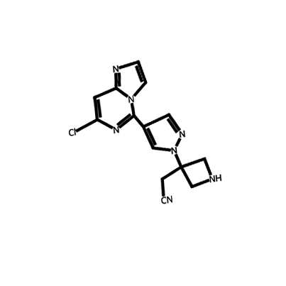 N#CCC1(n2cc(-c3nc(Cl)cc4nccn34)cn2)CNC1